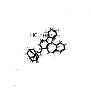 C1=CC2=CCC3=C4[C@H](CCC3CC35CC6CC(CC(C6)C3)C5)[C@H]3CN=CC=C3N4C2CC1.Cl